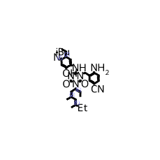 C/C=C1/C=C(Nc2nc(=O)n(C(/C=C(C)\C=C(/C)CC)=C/C)c(=O)n2Cc2cc(C#N)ccc2N)C(O)=C/C1=N/C(C)CC